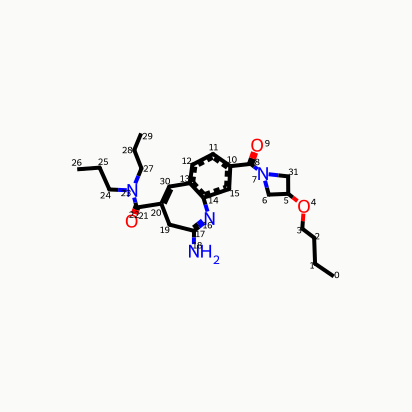 CCCCOC1CN(C(=O)c2ccc3c(c2)N=C(N)CC(C(=O)N(CCC)CCC)=C3)C1